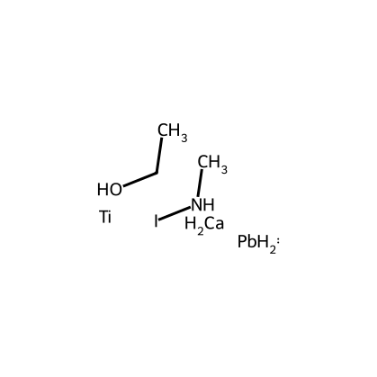 CCO.CNI.[CaH2].[PbH2].[Ti]